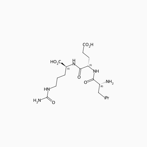 CC(C)C[C@@H](N)C(=O)N[C@@H](CCC(=O)O)C(=O)N[C@@H](CCCNC(N)=O)C(=O)O